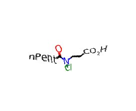 CCCCCC(=O)N(Cl)CCC(=O)O